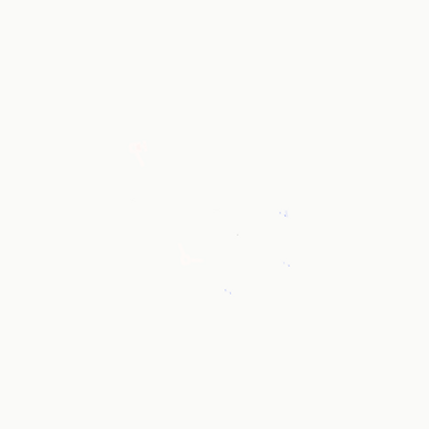 Nc1ncnc(Oc2ccc(O)cc2)c1C=O